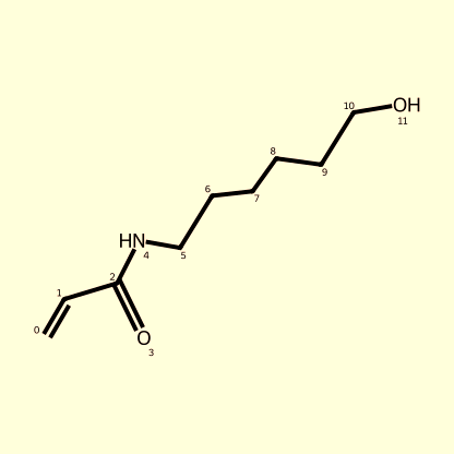 C=CC(=O)NCCCCCCO